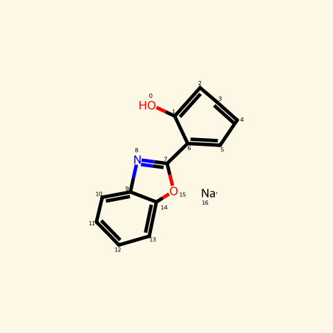 Oc1ccccc1-c1nc2ccccc2o1.[Na]